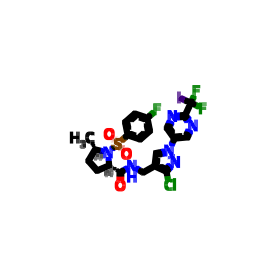 C[C@H]1CC[C@@H](C(=O)NCc2cn(-c3cnc(C(F)(F)I)nc3)nc2Cl)N1S(=O)(=O)c1ccc(F)cc1